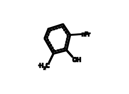 [CH2]c1cccc(CCC)c1O